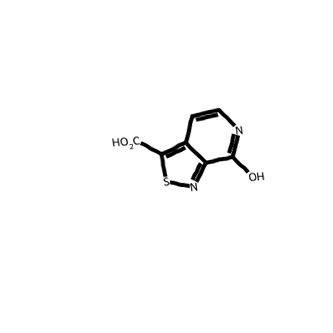 O=C(O)c1snc2c(O)nccc12